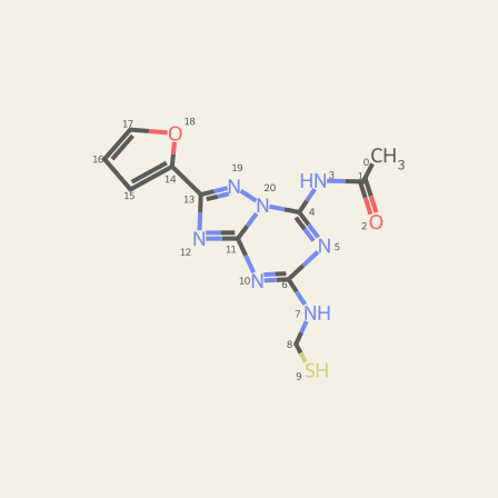 CC(=O)Nc1nc(NCS)nc2nc(-c3ccco3)nn12